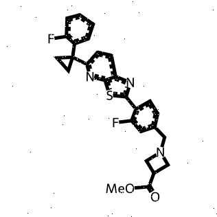 COC(=O)C1CN(Cc2ccc(-c3nc4ccc(C5(c6ccccc6F)CC5)nc4s3)c(F)c2)C1